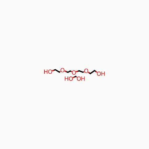 OCCOCCOCCOCCO.OCO